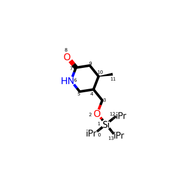 CC(C)[Si](OCC1CNC(=O)C[C@H]1C)(C(C)C)C(C)C